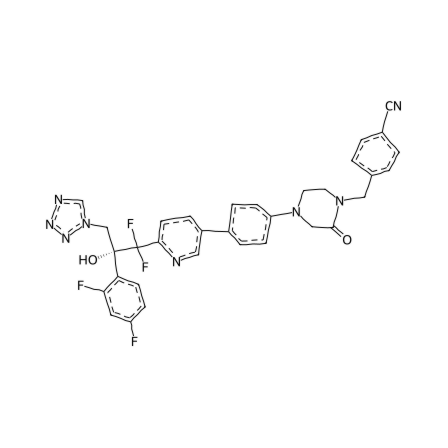 N#Cc1ccc(CN2CCN(c3ccc(-c4ccc(C(F)(F)[C@](O)(Cn5cnnn5)c5ccc(F)cc5F)nc4)cc3)CC2=O)cc1